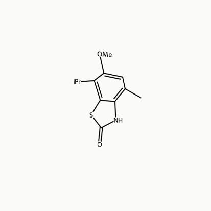 COc1cc(C)c2[nH]c(=O)sc2c1C(C)C